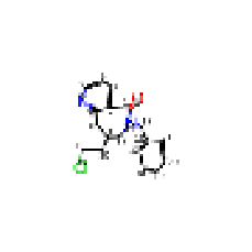 O=C1c2cccnc2CC(CCCl)CN1Cc1ccccc1